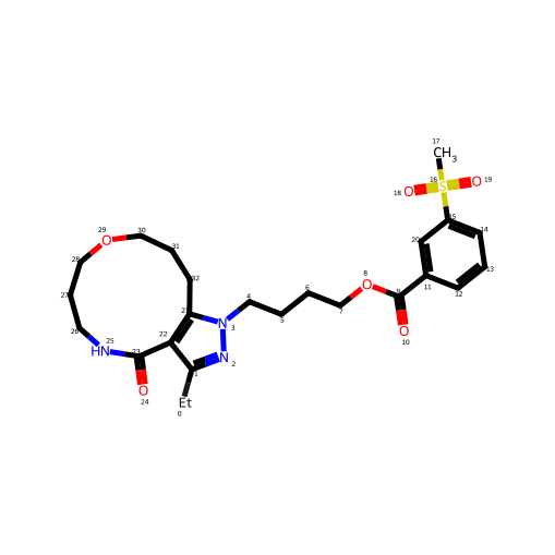 CCc1nn(CCCCOC(=O)c2cccc(S(C)(=O)=O)c2)c2c1C(=O)NCCCOCCC2